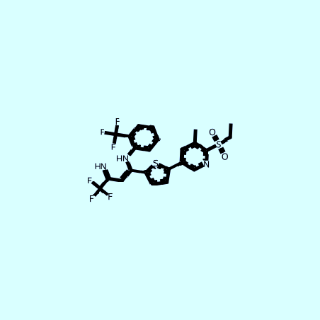 CCS(=O)(=O)c1ncc(-c2ccc(/C(=C/C(=N)C(F)(F)F)Nc3ccccc3C(F)(F)F)s2)cc1C